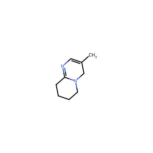 CC1=CN=C2CCCCN2C1